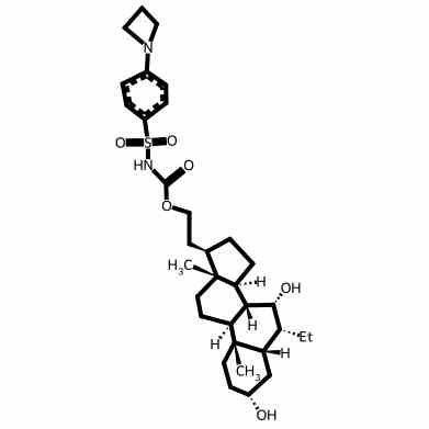 CC[C@H]1[C@@H](O)[C@@H]2[C@H](CC[C@]3(C)[C@@H](CCOC(=O)NS(=O)(=O)c4ccc(N5CCC5)cc4)CC[C@@H]23)[C@@]2(C)CC[C@@H](O)C[C@@H]12